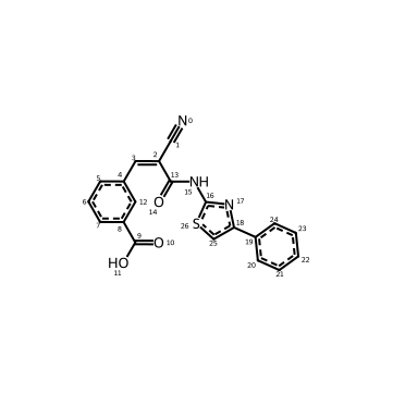 N#CC(=Cc1cccc(C(=O)O)c1)C(=O)Nc1nc(-c2ccccc2)cs1